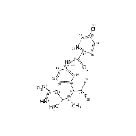 CC(OC(=N)N)[C@@H](C)C(c1cccc(NC(=O)c2ccc(Cl)cn2)c1)C(F)F